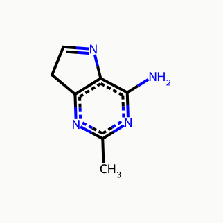 Cc1nc(N)c2c(n1)CC=N2